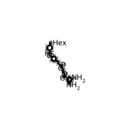 CCCCCCC1CCC(C(F)(F)Oc2ccc(/C=C/C(=O)OCCOC(=O)c3cc(N)cc(N)c3)cc2)CC1